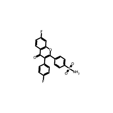 NS(=O)(=O)c1ccc(-c2oc3cc(F)ccc3c(=O)c2-c2ccc(F)cc2)cc1